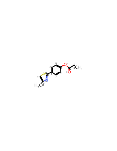 CCC(=O)Oc1ccc(-c2nc(C)cs2)cc1